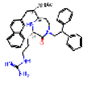 CC(=O)N[C@@H](Cc1ccc2ccccc2c1)[C@H]1CCN(CC(c2ccccc2)c2ccccc2)C(=O)[C@H](CCCNC(=N)N)N1